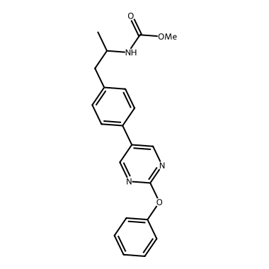 COC(=O)NC(C)Cc1ccc(-c2cnc(Oc3ccccc3)nc2)cc1